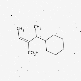 C/C=C(/C(=O)O)C(C)C1CCCCC1